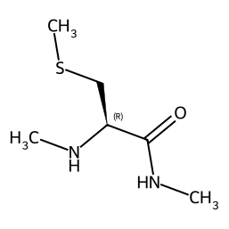 CNC(=O)[C@H](CSC)NC